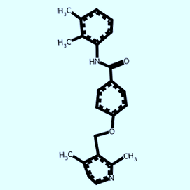 Cc1cccc(NC(=O)c2ccc(OCc3c(C)ccnc3C)cc2)c1C